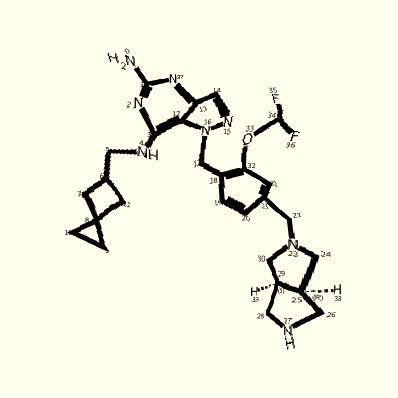 Nc1nc(NCC2CC3(CC3)C2)c2c(cnn2Cc2ccc(CN3C[C@H]4CNC[C@H]4C3)cc2OC(F)F)n1